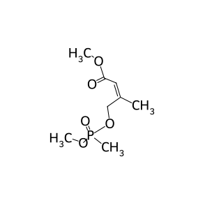 COC(=O)C=C(C)COP(C)(=O)OC